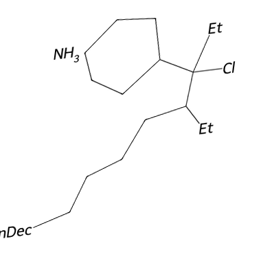 CCCCCCCCCCCCCCC(CC)C(Cl)(CC)C1CCCCC1.N